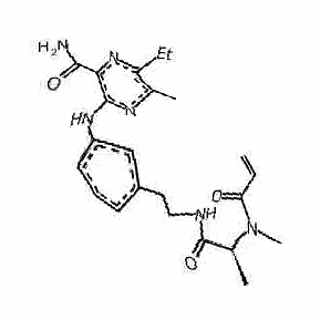 C=CC(=O)N(C)[C@@H](C)C(=O)NCCc1cccc(Nc2nc(C)c(CC)nc2C(N)=O)c1